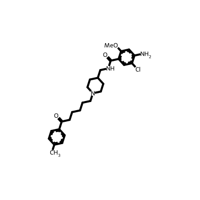 COc1cc(N)c(Cl)cc1C(=O)NCC1CCN(CCCCCC(=O)c2ccc(C)cc2)CC1